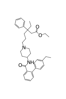 CCOC(=O)CC(CC)(CCCN1CCC(NC(=O)c2ccccc2-c2ccc(CC)cc2)CC1)c1ccccc1